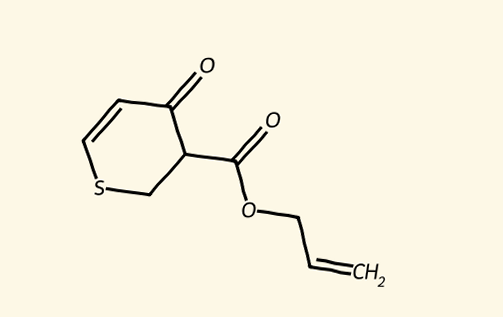 C=CCOC(=O)C1CSC=CC1=O